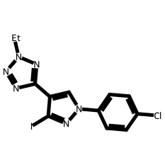 CCn1nnc(-c2cn(-c3ccc(Cl)cc3)nc2I)n1